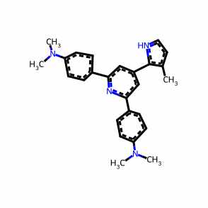 Cc1cc[nH]c1-c1cc(-c2ccc(N(C)C)cc2)nc(-c2ccc(N(C)C)cc2)c1